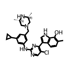 Cc1ccc2c(-c3nc(Nc4cc(CN5C[C@@H](C)N[C@@H](C)C5)cc(C5CC5)c4)ncc3Cl)c[nH]c2c1O